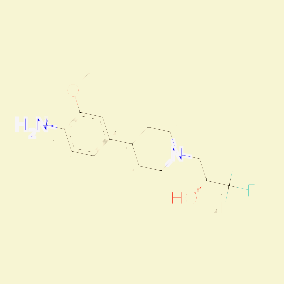 COc1cc(C2CCN(CC(O)C(F)(F)F)CC2)ccc1N